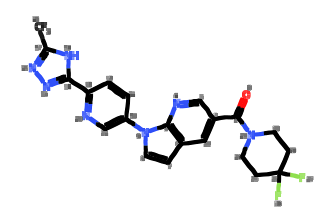 O=C(c1cnc2c(ccn2-c2ccc(-c3nnc(C(F)(F)F)[nH]3)nc2)c1)N1CCC(F)(F)CC1